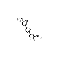 CCC(CCN)N1CCC(C2=CNC(N)C=C2)CC1